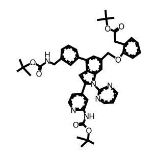 CC(C)(C)OC(=O)Cc1ccccc1OCc1cc(-c2cccc(CNC(=O)OC(C)(C)C)c2)c2cc(-c3ccnc(NC(=O)OC(C)(C)C)c3)n(-c3ncccn3)c2c1